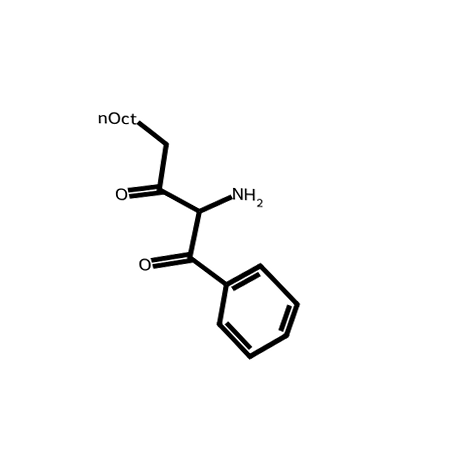 CCCCCCCCCC(=O)C(N)C(=O)c1ccccc1